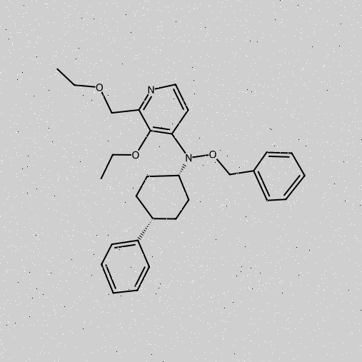 CCOCc1nccc(N(OCc2ccccc2)[C@H]2CC[C@@H](c3ccccc3)CC2)c1OCC